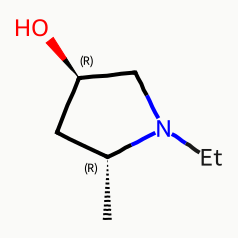 CCN1C[C@H](O)C[C@H]1C